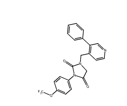 O=C1CN(Cc2ccncc2-c2ccccc2)C(=O)N1c1ccc(OC(F)(F)F)cc1